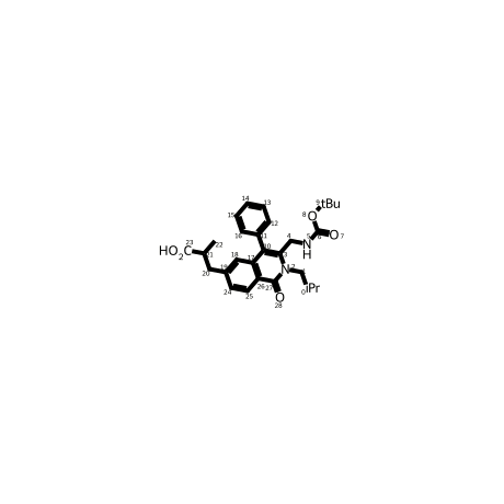 CC(C)Cn1c(CNC(=O)OC(C)(C)C)c(-c2ccccc2)c2cc(CC(C)C(=O)O)ccc2c1=O